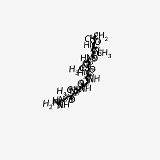 C=C(Cl)C(=O)Nc1cc(C(=O)Nc2cc(C(=O)Nc3c[nH]c(CC(=O)Nc4cc(C(=O)CCNC(=N)N)n(C)c4)c3)n(C)c2)n(C)c1